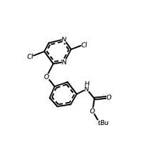 CC(C)(C)OC(=O)Nc1cccc(Oc2nc(Cl)ncc2Cl)c1